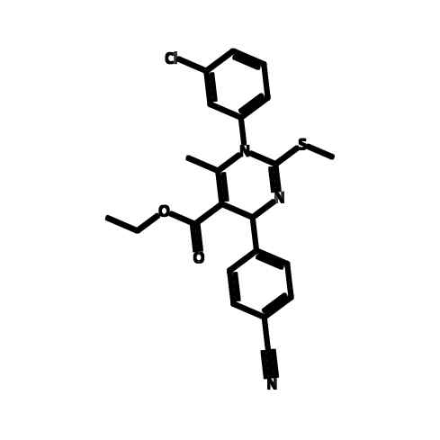 CCOC(=O)C1=C(C)N(c2cccc(Cl)c2)C(SC)=NC1c1ccc(C#N)cc1